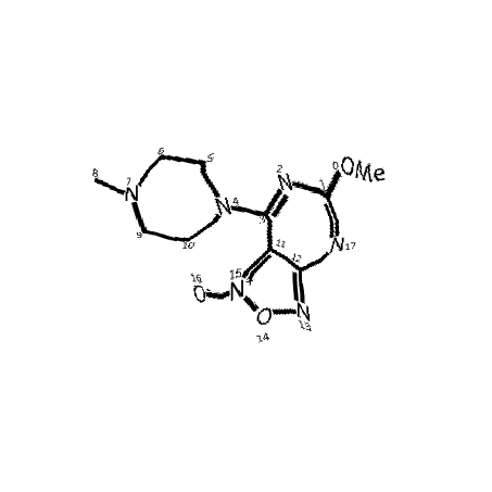 COc1nc(N2CCN(C)CC2)c2c(no[n+]2[O-])n1